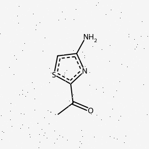 [CH2]C(=O)c1nc(N)cs1